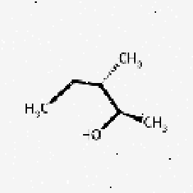 CC[C@H](C)[C@@H](C)O